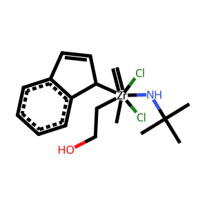 [CH2]=[Zr]([CH3])([Cl])([Cl])([CH2]CO)([NH]C(C)(C)C)[CH]1C=Cc2ccccc21